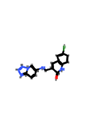 O=c1[nH]c2ccc(Cl)cc2cc1CNc1ccc2nnnn2c1